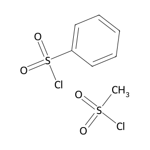 CS(=O)(=O)Cl.O=S(=O)(Cl)c1ccccc1